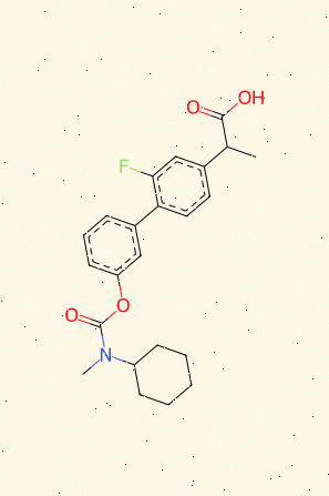 CC(C(=O)O)c1ccc(-c2cccc(OC(=O)N(C)C3CCCCC3)c2)c(F)c1